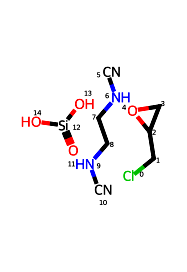 ClCC1CO1.N#CNCCNC#N.O=[Si](O)O